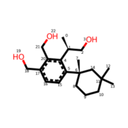 C[C@@H](CO)c1c([C@@]2(C)CCCC(C)(C)C2)ccc(CO)c1CO